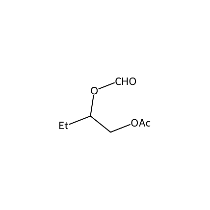 CCC(COC(C)=O)OC=O